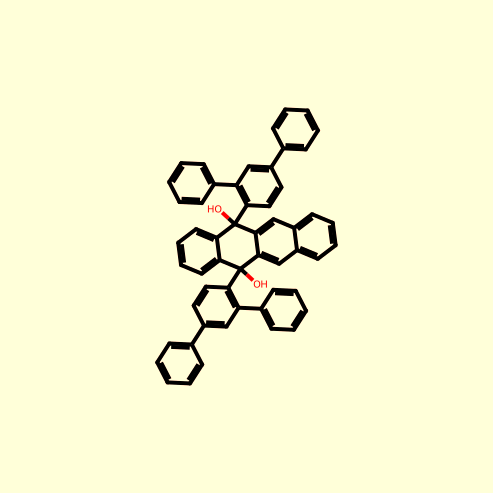 OC1(c2ccc(-c3ccccc3)cc2-c2ccccc2)c2ccccc2C(O)(c2ccc(-c3ccccc3)cc2-c2ccccc2)c2cc3ccccc3cc21